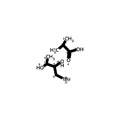 CC(C)C(=O)O.CC(O)C(O)CC(C)(C)C